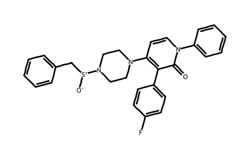 O=c1c(-c2ccc(F)cc2)c(N2CCN([S+]([O-])Cc3ccccc3)CC2)ccn1-c1ccccc1